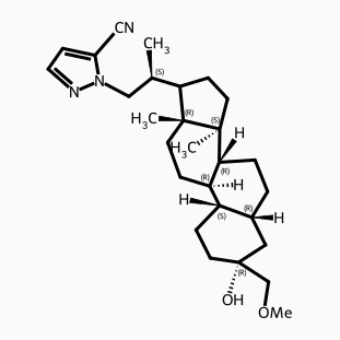 COC[C@@]1(O)CC[C@H]2[C@H](CC[C@@H]3[C@@H]2CC[C@]2(C)C([C@H](C)Cn4nccc4C#N)CC[C@@]32C)C1